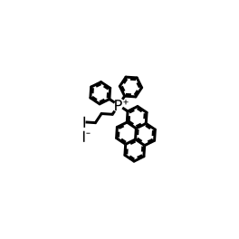 ICCC[P+](c1ccccc1)(c1ccccc1)c1ccc2ccc3cccc4ccc1c2c34.[I-]